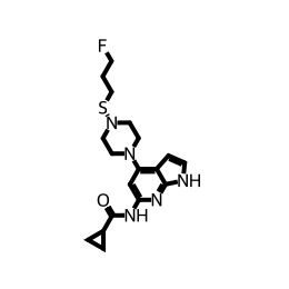 O=C(Nc1cc(N2CCN(SCCCF)CC2)c2cc[nH]c2n1)C1CC1